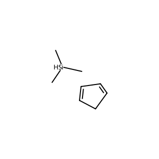 C1=CCC=C1.C[SiH](C)C